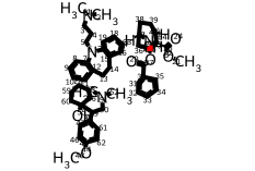 CN(C)CCCN1c2ccccc2CCc2ccccc21.COC(=O)[C@H]1[C@@H](OC(=O)c2ccccc2)C[C@@H]2CC[C@H]1N2C.COc1ccc(C(CN(C)C)C2(O)CCCCC2)cc1